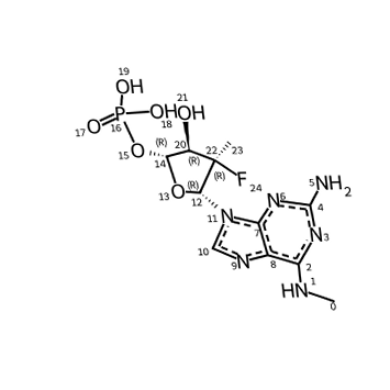 CNc1nc(N)nc2c1ncn2[C@@H]1O[C@H](OP(=O)(O)O)[C@@H](O)[C@@]1(C)F